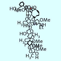 CCN[C@H]1CO[C@@H](O[C@H]2[C@H](O[C@H]3C#C/C=C/C#C[C@]4(O)CC(=O)C(NC(=O)OC)=C3/C4=C\CSSc3ccccc3C(=O)O)O[C@H](C)[C@@H](NO[C@H]3C[C@H](O)[C@H](SC(=O)c4c(C)c(I)c(O[C@@H]5O[C@@H](C)[C@H](O)[C@@H](OC)[C@H]5O)c(OC)c4OC)[C@@H](C)O3)[C@@H]2O)C[C@@H]1OC